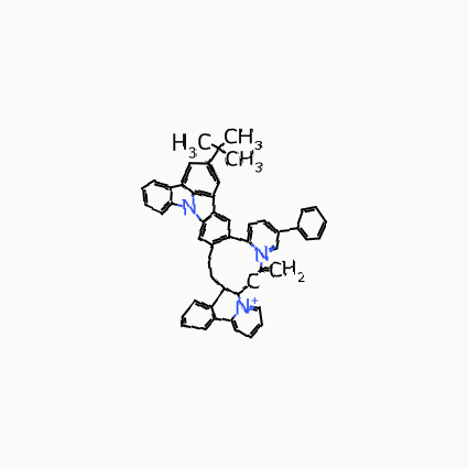 C=C1CC2C(CCc3cc4c(cc3-c3ccc(-c5ccccc5)c[n+]31)c1cc(C(C)(C)C)cc3c5ccccc5n4c31)c1ccccc1-c1cccc[n+]12